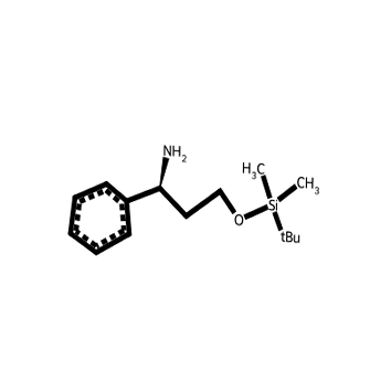 CC(C)(C)[Si](C)(C)OCC[C@H](N)c1ccccc1